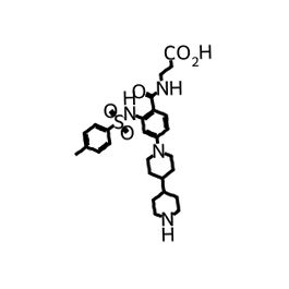 Cc1ccc(S(=O)(=O)Nc2cc(N3CCC(C4CCNCC4)CC3)ccc2C(=O)NCCC(=O)O)cc1